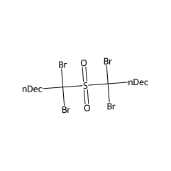 CCCCCCCCCCC(Br)(Br)S(=O)(=O)C(Br)(Br)CCCCCCCCCC